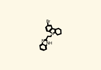 Brc1ccc2c(c1)c1c(n2CCc2nc3ccccc3[nH]2)CCCC1